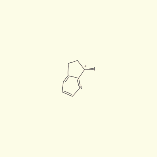 I[C@@H]1CCc2cccnc21